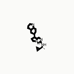 C[C@@H](Nc1ncc2c(-c3ccc4ncccc4c3)ccn2n1)C1CC1